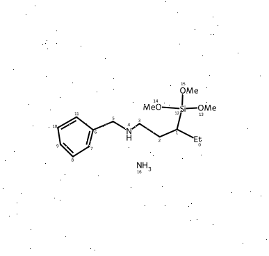 CCC(CCNCc1ccccc1)[Si](OC)(OC)OC.N